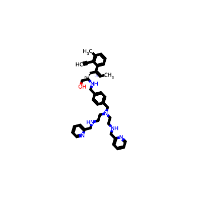 C#Cc1c(C)cccc1/C(=C\C)C[C@@H](CO)NCc1ccc(CN(CCNCc2ccccn2)CCNCc2ccccn2)cc1